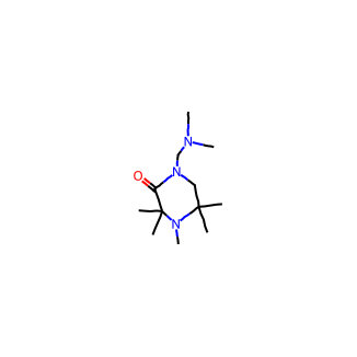 CN(C)CN1CC(C)(C)N(C)C(C)(C)C1=O